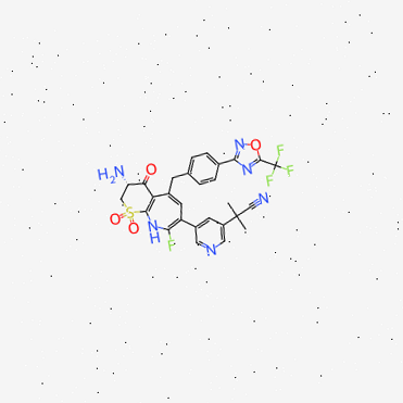 CC(C)(C#N)c1cncc(C2=C(F)NC3=C(C(=O)[C@@H](N)CS3(=O)=O)C(Cc3ccc(-c4noc(C(F)(F)F)n4)cc3)=C2)c1